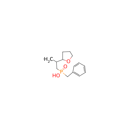 [CH2]C(CP(=O)(O)Cc1ccccc1)C1CCCO1